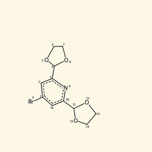 Brc1cc(C2OCCO2)nc(C2OCCO2)c1